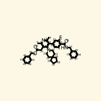 Cc1nc(C)c(-c2ccc(C(=O)NCc3ccccc3)c(F)c2)c(N2CCC3(CCCC3)CC2)c1CC(=O)OCc1ccccc1